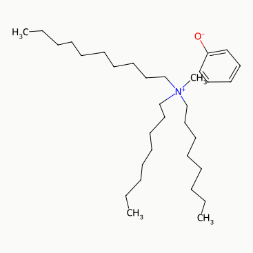 CCCCCCCCCC[N+](C)(CCCCCCCC)CCCCCCCC.[O-]c1ccccc1